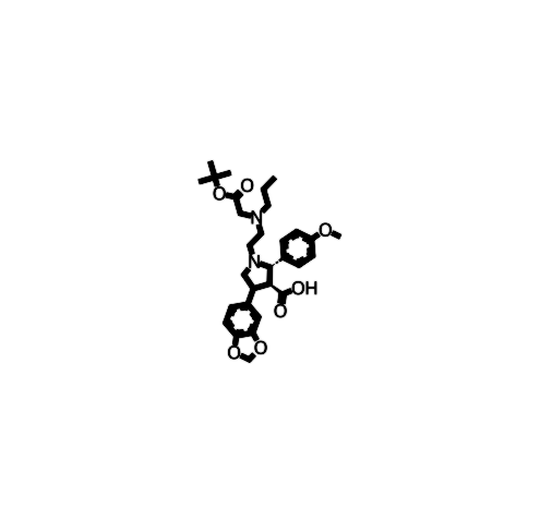 CCCN(CCN1CC(c2ccc3c(c2)OCO3)[C@H](C(=O)O)[C@H]1c1ccc(OC)cc1)CC(=O)OC(C)(C)C